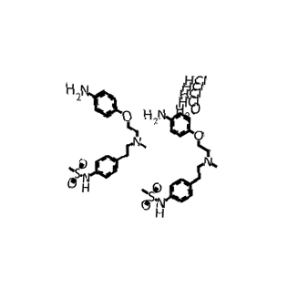 CN(CCOc1ccc(N)cc1)CCc1ccc(NS(C)(=O)=O)cc1.CN(CCOc1ccc(N)cc1)CCc1ccc(NS(C)(=O)=O)cc1.Cl.Cl.Cl.Cl.O